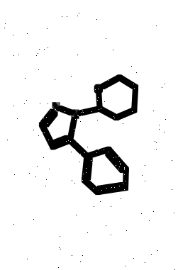 c1ccc(-c2ccnn2C2CCCCO2)cc1